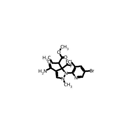 CCC(C(=O)OC)C1(C(F)F)C(C(N)=O)=CN(C)N1c1ncc(Br)cc1Cl